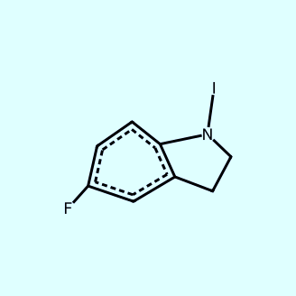 Fc1ccc2c(c1)CCN2I